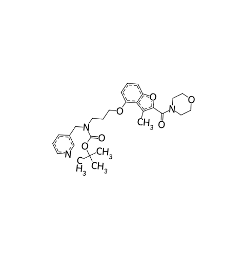 Cc1c(C(=O)N2CCOCC2)oc2cccc(OCCCN(Cc3cccnc3)C(=O)OC(C)(C)C)c12